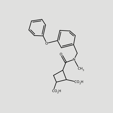 CN(Cc1cccc(Oc2ccccc2)c1)C(=O)C1CC(C(=O)O)C1C(=O)O